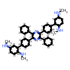 CNc1ccc(NC)c(-c2ccc(-c3nc(-c4ccccc4)c(-c4ccc(-c5cc(NC)ccc5NC)cc4)nc3-c3ccccc3)cc2)c1